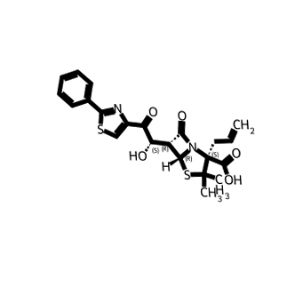 C=CC[C@@]1(C(=O)O)N2C(=O)[C@@H]([C@H](O)C(=O)c3csc(-c4ccccc4)n3)[C@H]2SC1(C)C